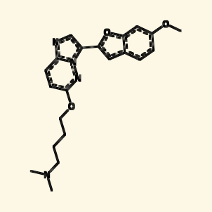 COc1ccc2cc(-c3cnc4ccc(OCCCCN(C)C)nn34)oc2c1